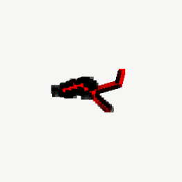 CCCCCCCC/C=C\CCCCCCCCCCCCCCCC(=O)N[C@@H](CO[C@@H]1OC(CO)[C@@H](O[C@@H]2OC(CO)[C@H](O)[C@H](O[C@@H]3OC(CO)[C@@H](O)[C@H](O[C@@H]4OC(CO)[C@H](O)[C@H](O[C@@H]5OC(CO)[C@H](O)[C@H](O)C5O)C4O)C3NC(C)=O)C2O)[C@H](O)C1O)[C@H](O)/C=C/CCCCCCCCCCCCC